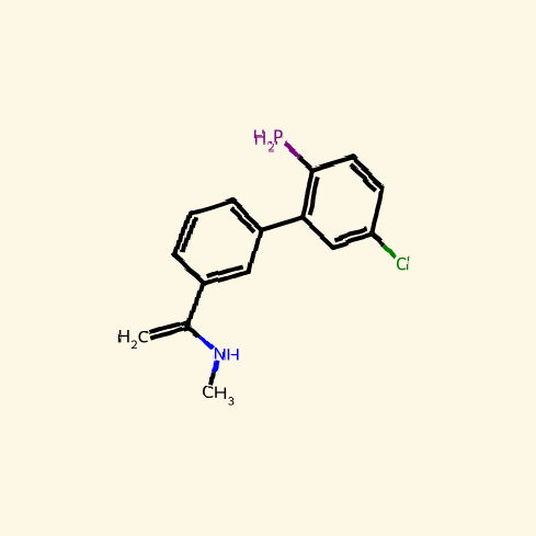 C=C(NC)c1cccc(-c2cc(Cl)ccc2P)c1